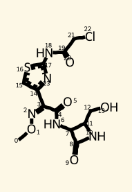 CO/N=C(\C(=O)NC1C(=O)NC1CO)c1csc(NC(=O)CCl)n1